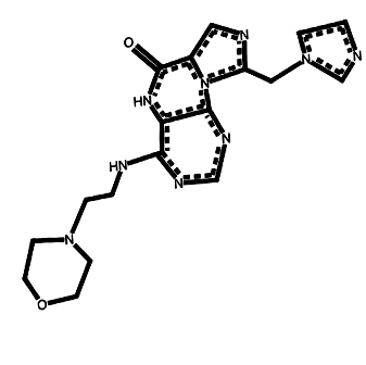 O=c1[nH]c2c(NCCN3CCOCC3)ncnc2n2c(Cn3ccnc3)ncc12